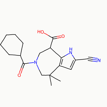 CC1(C)CN(C(=O)C2CCCCC2)CC(C(=O)O)c2[nH]c(C#N)cc21